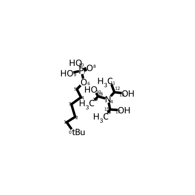 CC(C)(C)CCCCCOP(=O)(O)O.CC(O)N(C(C)O)C(C)O